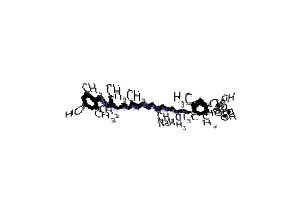 CC1=C[C@H](OP(=O)(O)OP(=O)(O)O)CC(C)(C)[C@H]1/C=C/C(C)=C/C=C/C(C)=C/C=C/C=C(C)/C=C/C=C(C)/C=C/C1=C(C)C[C@@H](O)CC1(C)C.[NaH]